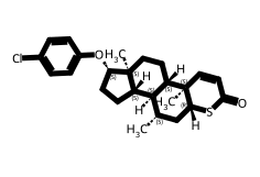 C[C@H]1C[C@H]2SC(=O)C=C[C@]2(C)[C@H]2CC[C@]3(C)[C@@H](Oc4ccc(Cl)cc4)CC[C@H]3[C@H]12